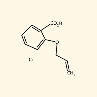 C=CCOc1ccccc1C(=O)O.[Cr]